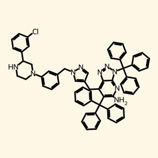 Nc1nc2c(nnn2C(c2ccccc2)(c2ccccc2)c2ccccc2)c(Cc2cnn(Cc3cccc(N4CCNC(c5cccc(Cl)c5)C4)c3)c2)c1C(c1ccccc1)(c1ccccc1)c1ccccc1